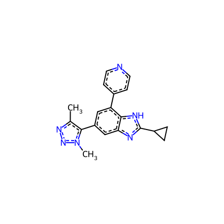 Cc1nnn(C)c1-c1cc(-c2ccncc2)c2[nH]c(C3CC3)nc2c1